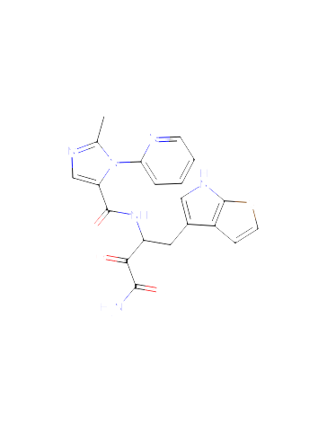 Cc1ncc(C(=O)NC(Cc2c[nH]c3sccc23)C(=O)C(N)=O)n1-c1ccccn1